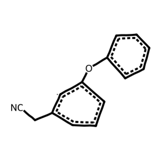 N#CCc1[c]c(Oc2ccccc2)ccc1